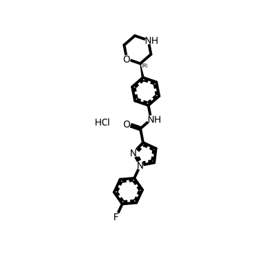 Cl.O=C(Nc1ccc([C@@H]2CNCCO2)cc1)c1ccn(-c2ccc(F)cc2)n1